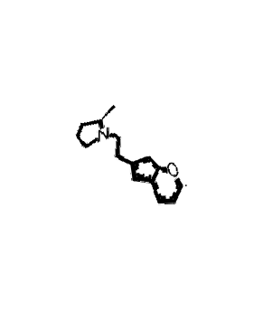 C[C@@H]1CCCN1CCc1cc2cc[c]oc-2c1